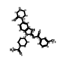 NC(=O)[C@H]1CC[C@H](n2/c(=N/C(=O)c3cccc(C(F)(F)F)c3)[nH]c3cc(N4CCOCC4=O)ccc32)CC1